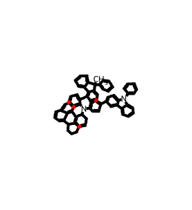 CC1(c2ccccc2)c2ccccc2-c2c(-c3ccccc3N(c3ccc(-c4ccc5c(c4)c4ccccc4n5-c4ccccc4)cc3)C3CC=CC=C3c3cccc4cccc(C5CCCCC5)c34)cccc21